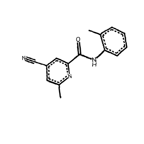 Cc1cc(C#N)cc(C(=O)Nc2ccccc2C)n1